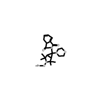 CCCON1C(C)(C)C2C(C1(C)C)C2(N1CCOCC1)N1C(=O)C2=CC=CCC2C1=O